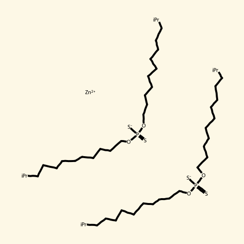 CC(C)CCCCCCCCCCOP(=S)([S-])OCCCCCCCCCCC(C)C.CC(C)CCCCCCCCCCOP(=S)([S-])OCCCCCCCCCCC(C)C.[Zn+2]